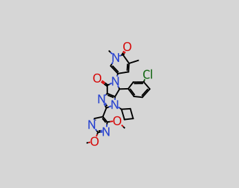 COc1ncc(-c2nc3c(n2C2CCC2)C(c2cccc(Cl)c2)N(c2cc(C)c(=O)n(C)c2)C3=O)c(OC)n1